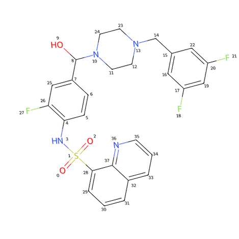 O=S(=O)(Nc1ccc(C(O)N2CCN(Cc3cc(F)cc(F)c3)CC2)cc1F)c1cccc2cccnc12